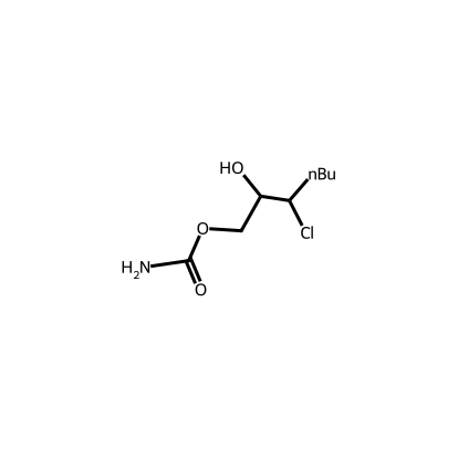 CCCCC(Cl)C(O)COC(N)=O